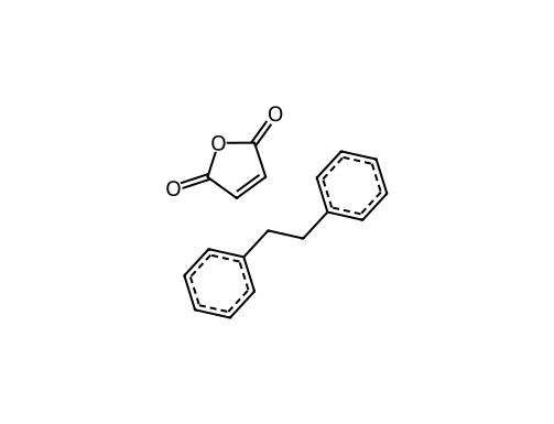 O=C1C=CC(=O)O1.c1ccc(CCc2ccccc2)cc1